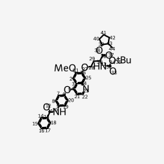 COc1cc2c(Oc3ccc(NC(=O)c4ccccc4)cc3)ccnc2cc1OCCC(NC(=O)OC(C)(C)C)C(=O)OC1CCCC1C